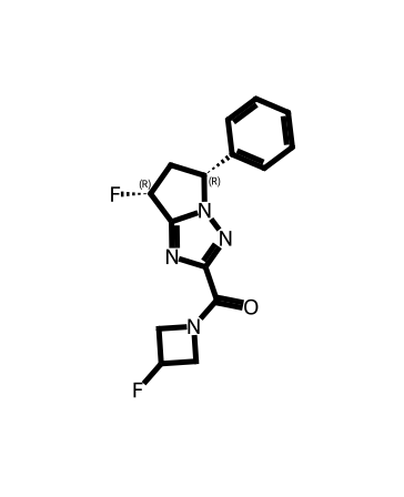 O=C(c1nc2n(n1)[C@@H](c1ccccc1)C[C@H]2F)N1CC(F)C1